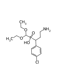 CCOC(OCC)P(=O)(O)C(CCN)c1ccc(Cl)cc1